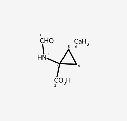 O=CNC1(C(=O)O)CC1.[CaH2]